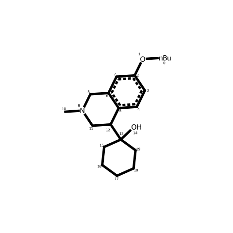 CCCCOc1ccc2c(c1)CN(C)CC2C1(O)CCCCC1